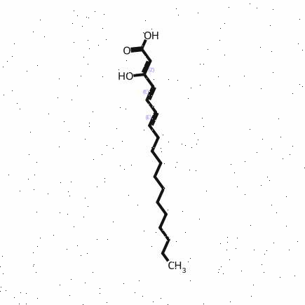 CCCCCCCCCCC/C=C/C=C/C(O)=C/C(=O)O